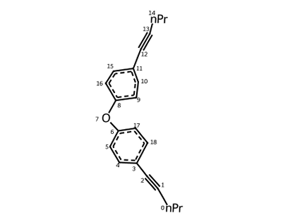 CCCC#Cc1ccc(Oc2ccc(C#CCCC)cc2)cc1